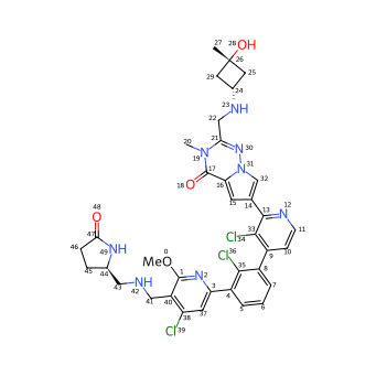 COc1nc(-c2cccc(-c3ccnc(-c4cc5c(=O)n(C)c(CN[C@H]6C[C@@](C)(O)C6)nn5c4)c3Cl)c2Cl)cc(Cl)c1CNC[C@H]1CCC(=O)N1